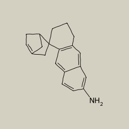 Nc1ccc2cc3c(cc2c1)CCCC31CC2=CCC1C2